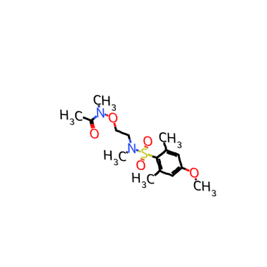 COc1cc(C)c(S(=O)(=O)N(C)CCON(C)C(C)=O)c(C)c1